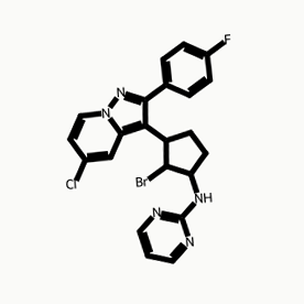 Fc1ccc(-c2nn3ccc(Cl)cc3c2C2CCC(Nc3ncccn3)C2Br)cc1